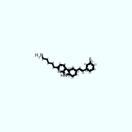 NCCCCCc1ccc2c(n1)[nH]c1ccc(C=Cc3cccc(F)c3)cc12